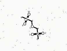 CS(=O)(=O)COCS(C)(=O)=O